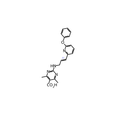 Cc1nc(NC/C=C/c2cccc(Oc3ccccc3)n2)nc(C)c1C(=O)O